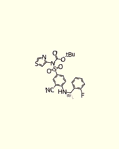 C[C@H](Nc1ccc(S(=O)(=O)N(C(=O)OC(C)(C)C)c2cscn2)cc1C#N)c1ccccc1F